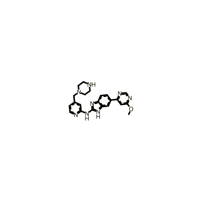 COc1cc(-c2ccc3nc(Nc4cc(CN5CCNCC5)ccn4)[nH]c3c2)ncn1